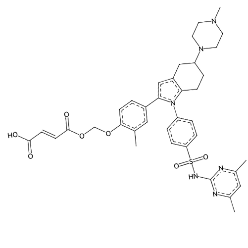 Cc1cc(C)nc(NS(=O)(=O)c2ccc(-n3c(-c4ccc(OCOC(=O)/C=C/C(=O)O)c(C)c4)cc4c3CCC(N3CCN(C)CC3)C4)cc2)n1